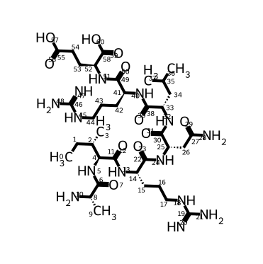 CC[C@H](C)[C@H](NC(=O)[C@H](C)N)C(=O)N[C@@H](CCCNC(=N)N)C(=O)N[C@@H](CC(N)=O)C(=O)N[C@@H](CC(C)C)C(=O)N[C@@H](CCCNC(=N)N)C(=O)N[C@@H](CCC(=O)O)C(=O)O